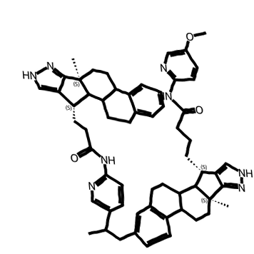 COc1ccc(NC(=O)CCC[C@@H]2c3c[nH]nc3[C@@]3(C)CCC4c5ccc(CC(C)c6ccc(NC(=O)CC[C@@H]7c8c[nH]nc8[C@@]8(C)CCC9c%10ccccc%10CCC9C78)nc6)cc5CCC4C23)nc1